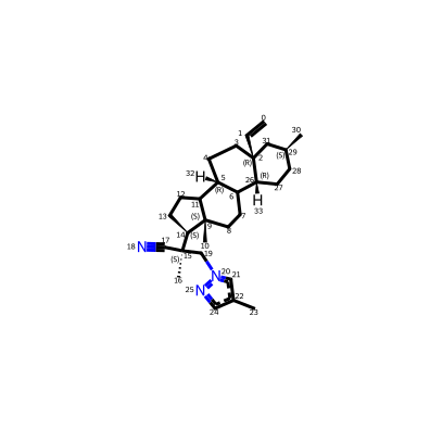 C=C[C@]12CC[C@@H]3C(CC[C@@]4(C)C3CC[C@@H]4[C@](C)(C#N)Cn3cc(C)cn3)[C@H]1CC[C@H](C)C2